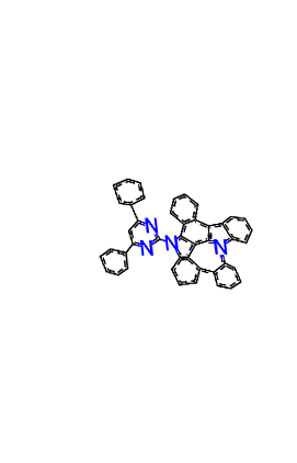 c1ccc(-c2cc(-c3ccccc3)nc(-n3c4cccc5c6ccccc6n6c7ccccc7c7c8ccccc8c3c(c54)c76)n2)cc1